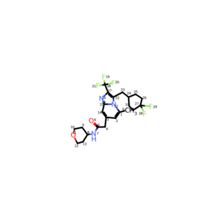 Cc1cc(CC(=O)NC2CCOCC2)cc2nc(C(F)(F)F)c(CC3CCC(F)(F)CC3)n12